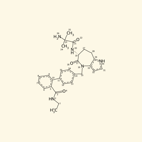 CCNC(=O)c1ccccc1-c1ccc(CN2C(=O)[C@H](NC(=O)C(C)(C)N)CCc3[nH]ccc32)cc1